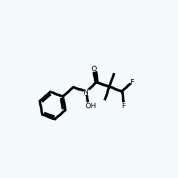 CC(C)(C(=O)N(O)Cc1ccccc1)C(F)F